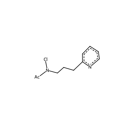 CC(=O)N(Cl)CCCc1ccccn1